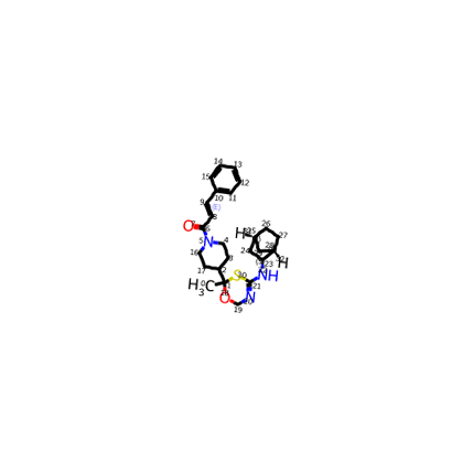 CC1(C2CCN(C(=O)/C=C/c3ccccc3)CC2)OCN=C(N[C@H]2C[C@@H]3CC[C@H]2C3)S1